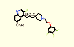 CCOC(=O)C1(CCCc2c(F)cnc3ccc(OC)cc23)CCN(CCOc2cc(F)c(F)c(F)c2)CC1